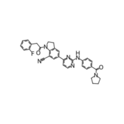 N#Cc1cc(-c2ccnc(Nc3ccc(C(=O)N4CCCC4)cc3)n2)cc2c1N(C(=O)Cc1ccccc1F)CC2